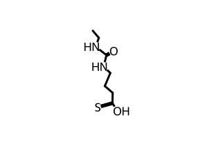 CCNC(=O)NCCCC(O)=S